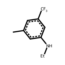 CCNc1cc(C)cc(C(F)(F)F)c1